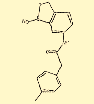 Cc1ccc(CC(=O)Nc2ccc3c(c2)B(O)OC3)cc1